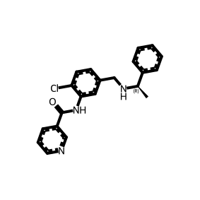 C[C@@H](NCc1ccc(Cl)c(NC(=O)c2cccnc2)c1)c1ccccc1